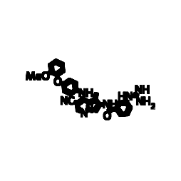 COc1ccccc1Oc1ccc(Nc2c(C#N)cnn3cc(NC(=O)c4cccc(NC(=N)N)c4)c(C)c23)cc1